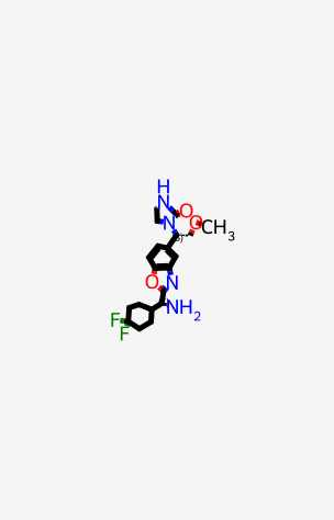 COC[C@H](c1ccc2oc([C@@H](N)C3CCC(F)(F)CC3)nc2c1)N1CCNC1=O